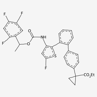 CCOC(=O)C1(c2ccc(-c3ccccc3-c3sc(F)cc3NC(=O)OC(C)c3cc(F)c(F)cc3F)cc2)CC1